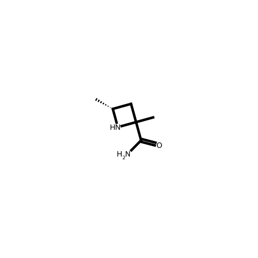 C[C@@H]1CC(C)(C(N)=O)N1